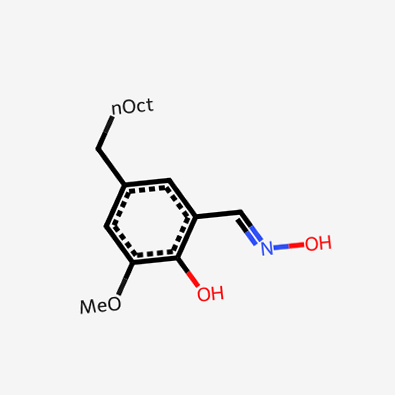 CCCCCCCCCc1cc(C=NO)c(O)c(OC)c1